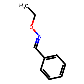 CCON=Cc1ccccc1